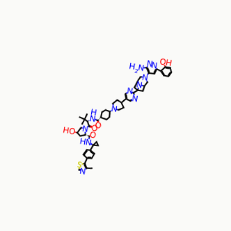 Cc1ncsc1-c1ccc(C2(NC(=O)[C@@H]3C[C@@H](O)CN3C(=O)[C@@H](NC(=O)[C@H]3CC[C@H](N4CCC(c5cnc(C67CC8CN(c9cc(-c%10ccccc%10O)nnc9N)CC(C6)N87)nc5)CC4)CC3)C(C)(C)C)CC2)cc1